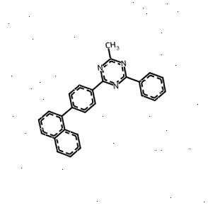 Cc1nc(-c2ccccc2)nc(-c2ccc(-c3cccc4ccccc34)cc2)n1